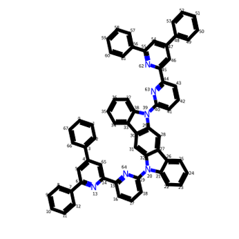 c1ccc(-c2cc(-c3ccccc3)nc(-c3cccc(-n4c5ccccc5c5cc6c(cc54)c4ccccc4n6-c4cccc(-c5cc(-c6ccccc6)cc(-c6ccccc6)n5)n4)n3)c2)cc1